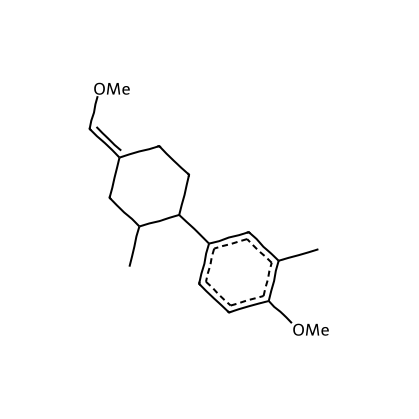 CO/C=C1\CCC(c2ccc(OC)c(C)c2)C(C)C1